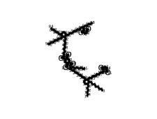 CCCCCCCCC1C(CCCCCC)CCC(CCCCCCCCC(C)(CCCCCCC)n2c(=O)c3cc4c(=O)n(CCCCCCCCC5C(CCCCCCCCC(CCCCC)N6C(=O)C=CC6=O)CCC(CCCCCC)C5CCCCCCCC)c(=O)c4cc3c2=O)C1CCCCCCCCN1C(=O)C=CC1=O